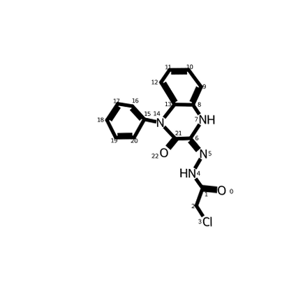 O=C(CCl)NN=c1[nH]c2ccccc2n(-c2ccccc2)c1=O